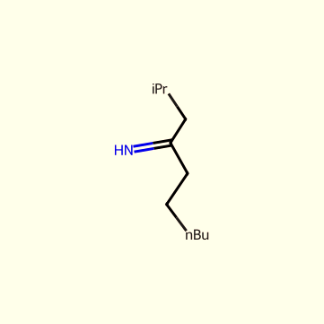 CCCCCCC(=N)CC(C)C